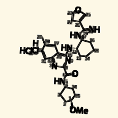 CO[C@H]1CC[C@H](NC(=O)c2nc(N[C@H]3CCCC[C@H]3NC(=N)c3ccoc3)c3cc(C)ccc3n2)CC1.Cl.Cl